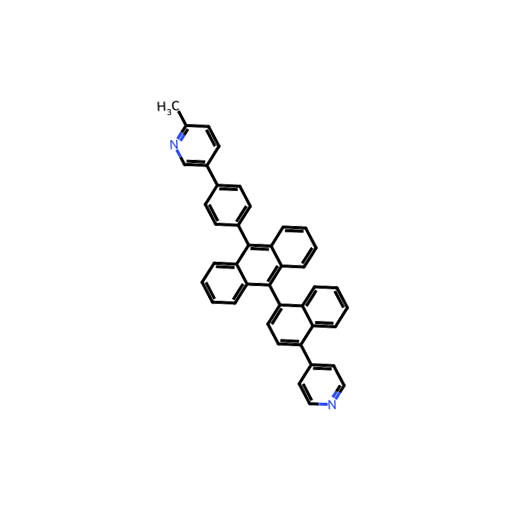 Cc1ccc(-c2ccc(-c3c4ccccc4c(-c4ccc(-c5ccncc5)c5ccccc45)c4ccccc34)cc2)cn1